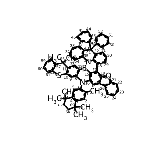 Cc1cc2c(cc1N1c3cc4c(cc3B3c5c1cc1c(oc6ccccc61)c5-c1cccc5c1N3c1ccccc1C5(c1ccccc1)c1ccccc1)C(C)(C)c1ccccc1S4)C(C)(C)CCC2(C)C